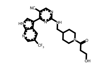 N#Cc1cnc(NCC2CCN(C(=O)CCO)CC2)nc1-c1c[nH]c2ncc(C(F)(F)F)cc12